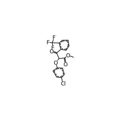 COC(=O)C(Oc1ccc(Cl)cc1)C(=O)c1ccccc1C(F)(F)F